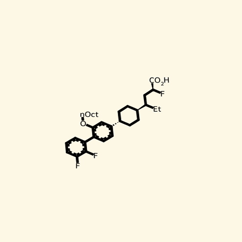 CCCCCCCCOc1cc([C@H]2CC[C@H](C(CC)C[C@H](F)C(=O)O)CC2)ccc1-c1cccc(F)c1F